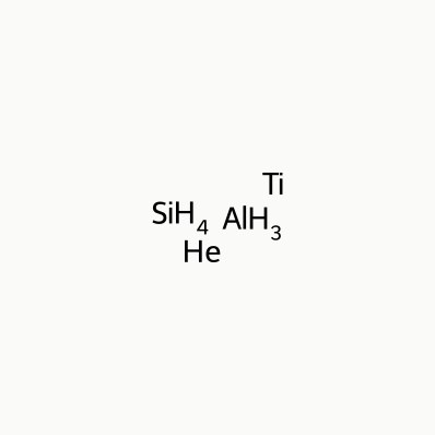 [AlH3].[He].[SiH4].[Ti]